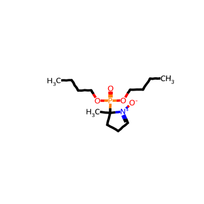 CCCCOP(=O)(OCCCC)C1(C)CCC=[N+]1[O-]